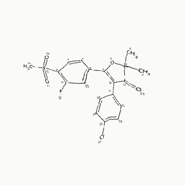 CC1(C)OC(c2ccc(S(C)(=O)=O)c(F)c2)=C(c2ccc(Cl)cc2)C1=O